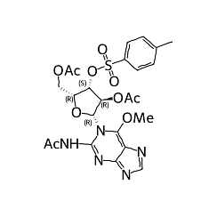 COc1c2ncnc-2nc(NC(C)=O)n1[C@@H]1O[C@H](COC(C)=O)[C@H](OS(=O)(=O)c2ccc(C)cc2)[C@H]1OC(C)=O